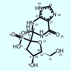 NC1(C2(P(=O)(O)O)C[C@H](O)[C@@H](CO)O2)NC(=O)c2nc[nH]c2N1